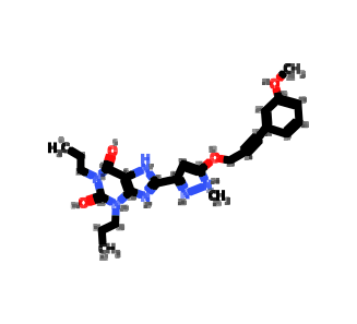 CCCn1c(=O)c2[nH]c(-c3cc(OCC#Cc4cccc(OC)c4)n(C)n3)nc2n(CCC)c1=O